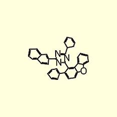 C1=CCC(c2nc(-c3ccc4ccccc4c3)nc(-c3c(-c4ccccc4)ccc4oc5ccccc5c34)n2)C=C1